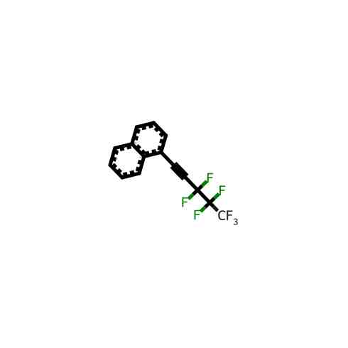 FC(F)(F)C(F)(F)C(F)(F)C#Cc1cccc2ccccc12